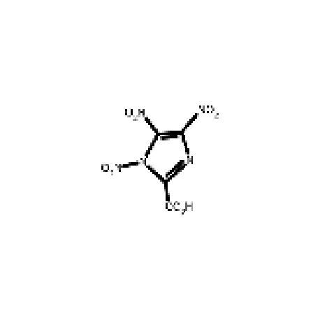 O=C(O)c1nc([N+](=O)[O-])c([N+](=O)[O-])n1[N+](=O)[O-]